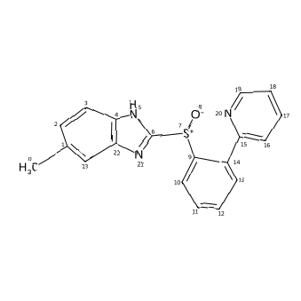 Cc1ccc2[nH]c([S+]([O-])c3ccccc3-c3ccccn3)nc2c1